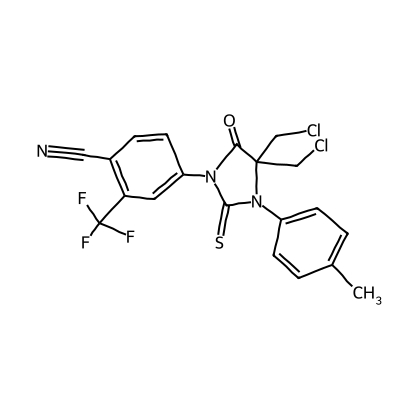 Cc1ccc(N2C(=S)N(c3ccc(C#N)c(C(F)(F)F)c3)C(=O)C2(CCl)CCl)cc1